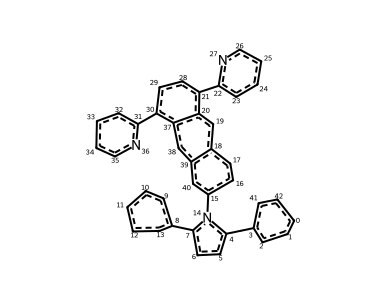 c1ccc(-c2ccc(-c3ccccc3)n2-c2ccc3cc4c(-c5ccccn5)ccc(-c5ccccn5)c4cc3c2)cc1